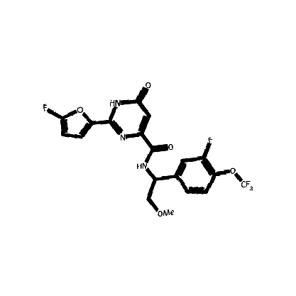 COCC(NC(=O)c1cc(=O)[nH]c(-c2ccc(F)o2)n1)c1ccc(OC(F)(F)F)c(F)c1